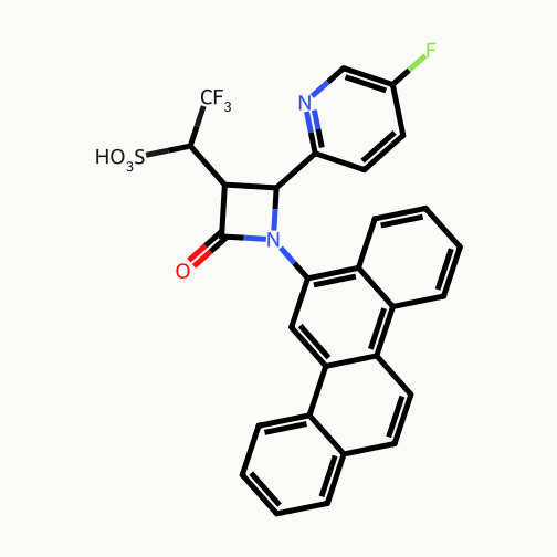 O=C1C(C(C(F)(F)F)S(=O)(=O)O)C(c2ccc(F)cn2)N1c1cc2c3ccccc3ccc2c2ccccc12